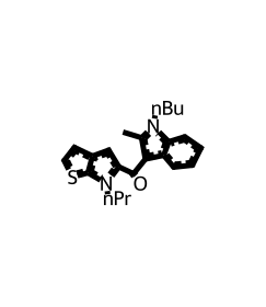 CCCCn1c(C)c(C(=O)c2cc3ccsc3n2CCC)c2ccccc21